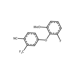 COc1cccc(F)c1Oc1ccc(C#N)c(C(F)(F)F)c1